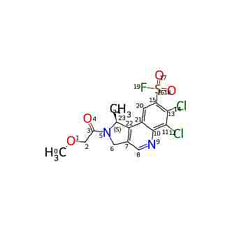 COCC(=O)N1Cc2cnc3c(Cl)c(Cl)c(S(=O)(=O)F)cc3c2[C@@H]1C